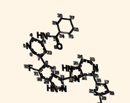 O=C(Nc1cncc(-c2cc3c(-c4nc5c(-c6ccc(F)s6)nccc5[nH]4)n[nH]c3cc2F)c1)C1CCCCC1